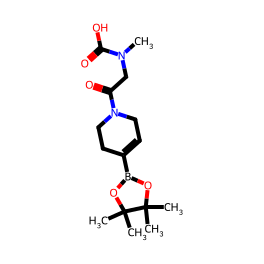 CN(CC(=O)N1CC=C(B2OC(C)(C)C(C)(C)O2)CC1)C(=O)O